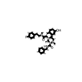 C[C@H]1N([C@@H](Cc2ccc(O)cc2)C(=O)N(C)CCc2ccc(F)cc2)C(=O)CN(C)N1C(=O)NCc1ccccc1